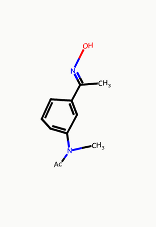 CC(=O)N(C)c1cccc(C(C)=NO)c1